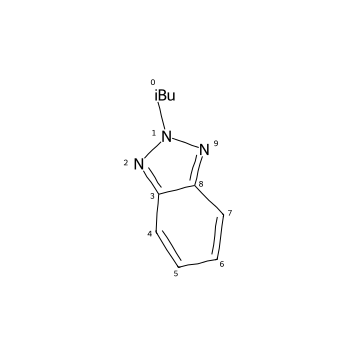 CCC(C)n1nc2ccccc2n1